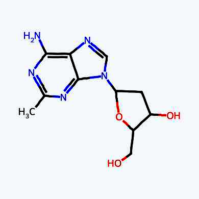 Cc1nc(N)c2ncn(C3CC(O)C(CO)O3)c2n1